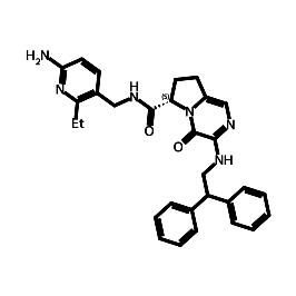 CCc1nc(N)ccc1CNC(=O)[C@@H]1CCc2cnc(NCC(c3ccccc3)c3ccccc3)c(=O)n21